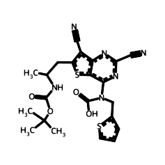 CC(Cc1sc2c(N(Cc3cccs3)C(=O)O)nc(C#N)nc2c1C#N)NC(=O)OC(C)(C)C